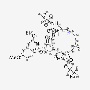 CCOc1cc2cc(OC)ccc2c(O[C@@H]2C[C@H]3C(=O)N[C@]4(C(=O)NS(=O)(=O)C5(C)CC5)CC4/C=C\CC[C@@H](C)C[C@@H](C)[C@H](NC(=O)OC(C)(C)C(C)(F)F)C(=O)N3C2)n1